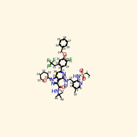 CCS(=O)(=O)Nc1ncc(C)cc1CNc1nc(-c2cc(F)c(OCc3ccccc3)cc2CC(F)(F)F)cc2c1c(C(=O)NC(C)(C)C)nn2C1CCCCO1